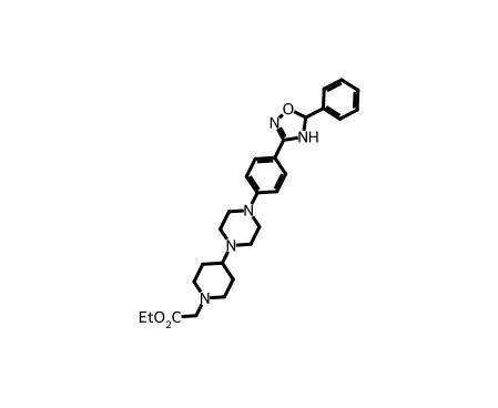 CCOC(=O)CN1CCC(N2CCN(c3ccc(C4=NOC(c5ccccc5)N4)cc3)CC2)CC1